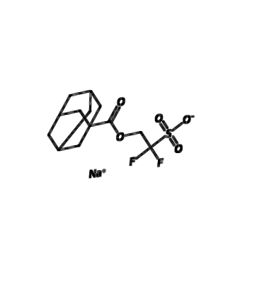 O=C(OCC(F)(F)S(=O)(=O)[O-])C12CC3CC(CC(C3)C1)C2.[Na+]